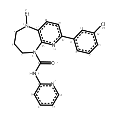 CCN1CCCN(C(=O)Nc2ccccn2)c2nc(-c3cccc(Cl)c3)ccc21